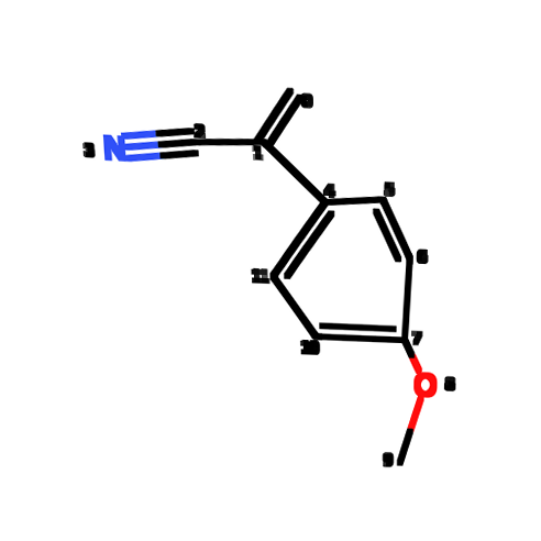 C=C(C#N)c1ccc(OC)cc1